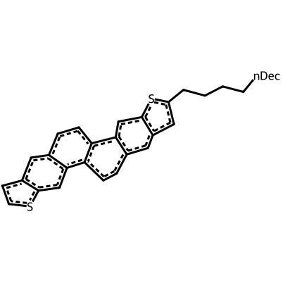 CCCCCCCCCCCCCCc1cc2cc3ccc4c5cc6sccc6cc5ccc4c3cc2s1